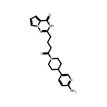 Nc1ccc(C2CCN(C(=O)CCCc3nn4cccc4c(=O)[nH]3)CC2)cn1